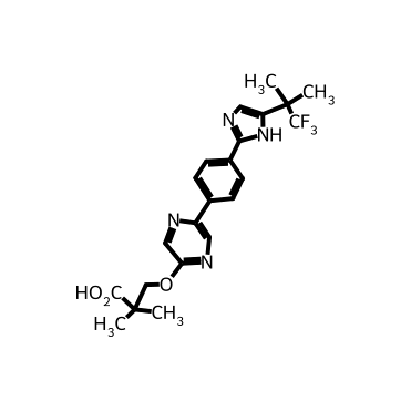 CC(C)(COc1cnc(-c2ccc(-c3ncc(C(C)(C)C(F)(F)F)[nH]3)cc2)cn1)C(=O)O